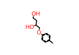 Cc1ccc(OCC(O)CCO)cc1